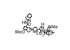 CNOC12CC3(C)CC(C)(CC(CN/C(C)=C(\C=N)c4ccc(N5CCc6c(OC)ccc(C(=O)Nc7nc8ccccc8s7)c6C5)nc4C(=O)O)(C3)C1)C2